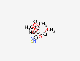 COc1cccc(C(=O)C(Cc2cc(OC)c(OC3CCCC3)c(OC)c2)=C(C(=O)[O-])c2ccc3nsnc3c2)c1.[Na+]